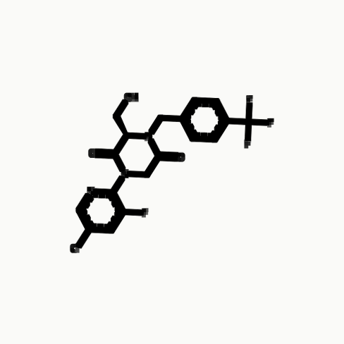 O=C1[C@@H](CO)N(Cc2ccc(C(F)(F)F)cc2)C(=O)CN1c1ncc(Cl)cc1F